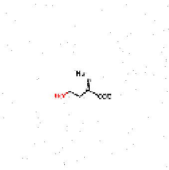 C=C(CCO)C(=O)[O-].[Na+]